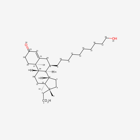 C[C@]1(CC(=O)O)CC[C@H]2[C@@H]3[C@H](CCCCCCCCCCO)CC4=CC(=O)CC[C@]4(C)[C@H]3CC[C@@]21C